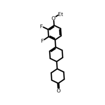 CCOc1ccc(C2=CCC(C3CCC(=O)CC3)CC2)c(F)c1F